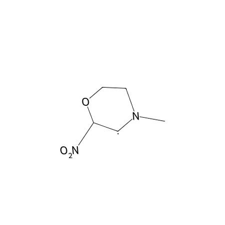 CN1[CH]C([N+](=O)[O-])OCC1